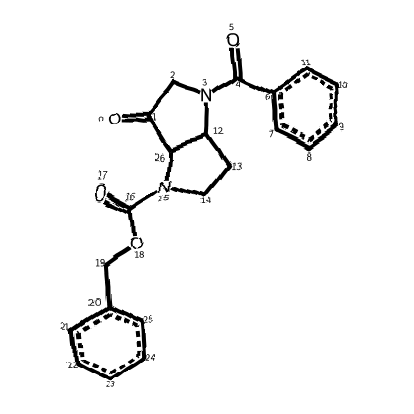 O=C1CN(C(=O)c2ccccc2)C2CCN(C(=O)OCc3ccccc3)C12